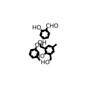 Cc1cc(CO)c(O)c(CO)c1.Cc1cccc(O)c1.O=Cc1ccccc1O